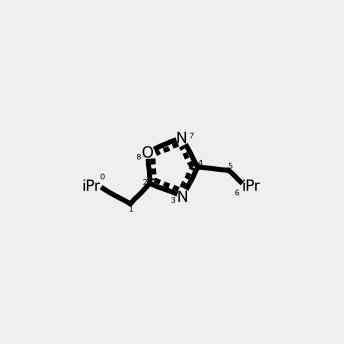 [CH2]C(C)Cc1nc(CC(C)C)no1